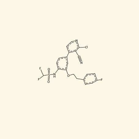 N#Cc1c(-c2ccc(NS(=O)(=O)C(F)F)c(OCCc3ccc(F)cc3)c2)ccnc1Cl